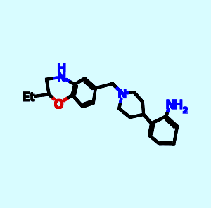 CCC1CNc2cc(CN3CCC(c4ccccc4N)CC3)ccc2O1